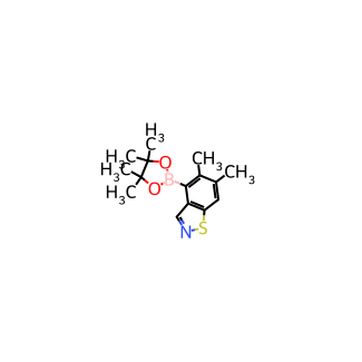 Cc1cc2sncc2c(B2OC(C)(C)C(C)(C)O2)c1C